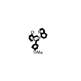 COc1ccc(CCN(Cc2ncccc2Cl)[C@H]2CCCc3cccnc32)cc1